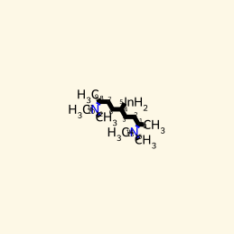 CC(CC[CH]([InH2])CCC(C)N(C)C)N(C)C